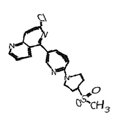 CS(=O)(=O)C1CCN(c2ccc(-c3nc(Cl)cc4ncccc34)cn2)CC1